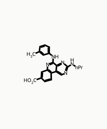 CCCNc1ncc2c(n1)c(Nc1cccc(C)c1)nc1cc(C(=O)O)ccc12